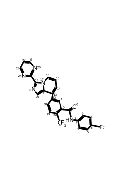 O=C(Nc1ccc(F)cc1)c1cc(-c2cccn3c(-c4ncccn4)ncc23)ccc1C(F)(F)F